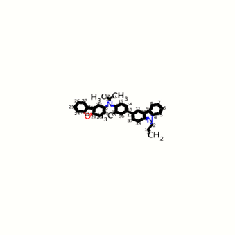 C=CCn1c2ccccc2c2cc(-c3ccc(N(c4ccc5oc6ccccc6c5c4)C(C)C)c(C)c3)ccc21